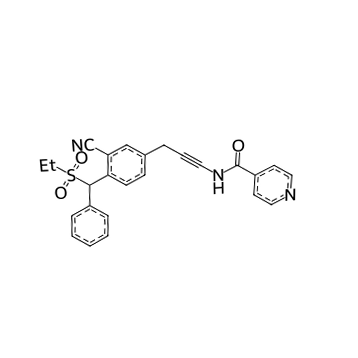 CCS(=O)(=O)C(c1ccccc1)c1ccc(CC#CNC(=O)c2ccncc2)cc1C#N